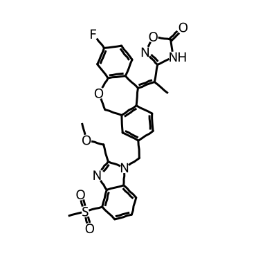 COCc1nc2c(S(C)(=O)=O)cccc2n1Cc1ccc2c(c1)COc1cc(F)ccc1C2=C(C)c1noc(=O)[nH]1